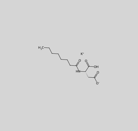 CCCCCCCC(=O)N[C@@H](CC(=O)[O-])C(=O)O.[K+]